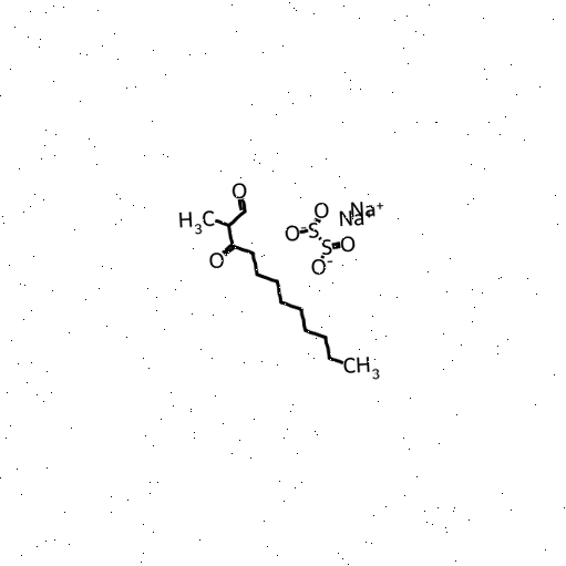 CCCCCCCCCC(=O)C(C)C=O.O=S([O-])S(=O)[O-].[Na+].[Na+]